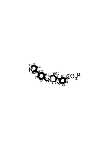 C[C@H]1CN(Cc2ccc(-c3cccnc3)cc2)CC[C@@]1(C)c1cccc(C(=O)O)c1